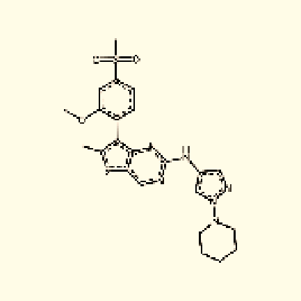 COc1cc(S(C)(=O)=O)ccc1-c1c(C)sc2cnc(Nc3cnn(N4CCCCC4)c3)nc12